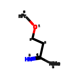 CCCOCCC(=N)NC